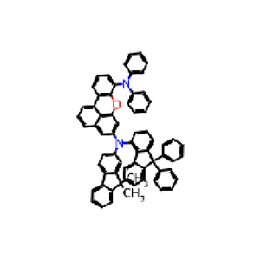 CC1(C)c2ccccc2-c2ccc(N(c3cc4c5c(cccc5c3)-c3cccc(N(c5ccccc5)c5ccccc5)c3O4)c3cccc4c3-c3ccccc3C4(c3ccccc3)c3ccccc3)cc21